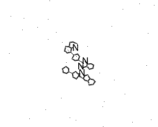 c1ccc(-c2ccc3c4cc5ccccc5cc4n(-c4nc(-c5ccc(-c6cccc7cccnc67)cc5)nc5ccccc45)c3c2)cc1